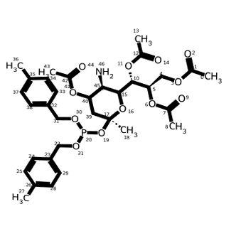 CC(=O)OC[C@@H](OC(C)=O)[C@@H](OC(C)=O)C1O[C@@](C)(OP(OCc2ccc(C)cc2)OCc2ccc(C)cc2)CC(OC(C)=O)[C@H]1N